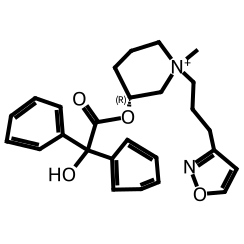 C[N+]1(CCCc2ccon2)CCC[C@@H](OC(=O)C(O)(c2ccccc2)c2ccccc2)C1